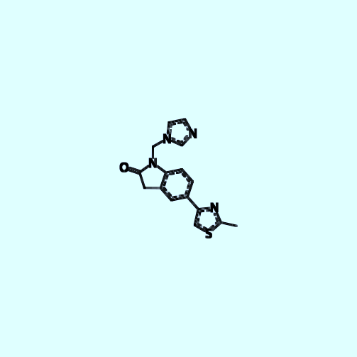 Cc1nc(-c2ccc3c(c2)CC(=O)N3Cn2ccnc2)cs1